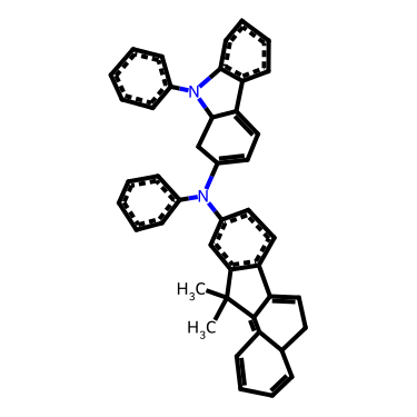 CC1(C)C2=C3C=CC=CC3CC=C2c2ccc(N(C3=CC=C4c5ccccc5N(c5ccccc5)C4C3)c3ccccc3)cc21